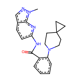 Cn1ncc2ccc(NC(=O)c3ccccc3N3CCC4(CC3)CC4)nc21